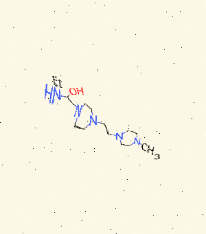 CCNC(O)CN1CCN(CCN2CCN(C)CC2)CC1